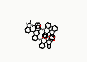 Cc1nc2cccc(-c3c4cccc(N5c6ccccc6C6(c7ccccc7-c7ccccc76)c6ccccc65)c4cc4c(N5c6ccccc6C6(c7ccccc7-c7ccccc76)c6ccccc65)cccc34)c2n1-c1ccccc1